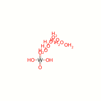 O.O.O.O.O.O.O.[O]=[W](=[O])([OH])[OH]